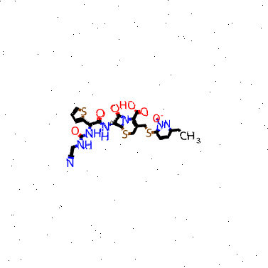 CCc1ccc(SCC2=C(C(=O)O)N3C(=O)[C@H](NC(=O)C(NC(=O)NCC#N)c4cccs4)C3SC2)[n+]([O-])n1